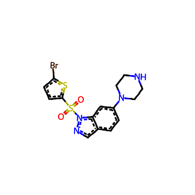 O=S(=O)(c1ccc(Br)s1)n1ncc2ccc(N3CCNCC3)cc21